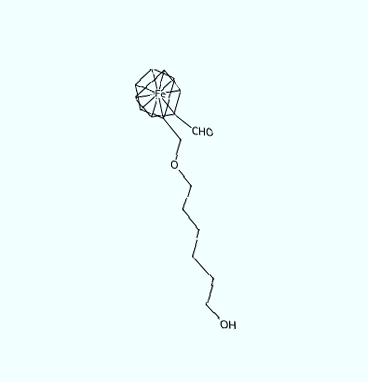 O=C[C]12[CH]3[CH]4[CH]5[CH]1[Fe]45321678[CH]2[CH]1[CH]6[C]7(COCCCCCCO)[CH]28